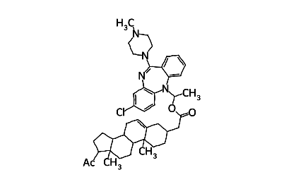 CC(=O)C1CCC2C3CC=C4CC(CC(=O)OC(C)N5c6ccc(Cl)cc6N=C(N6CCN(C)CC6)c6ccccc65)CCC4(C)C3CCC12C